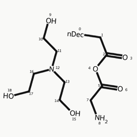 CCCCCCCCCCCC(=O)OC(=O)CN.OCCN(CCO)CCO